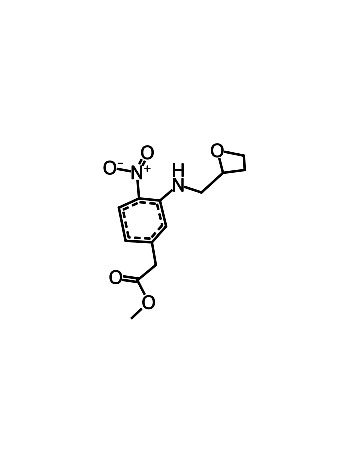 COC(=O)Cc1ccc([N+](=O)[O-])c(NCC2CCO2)c1